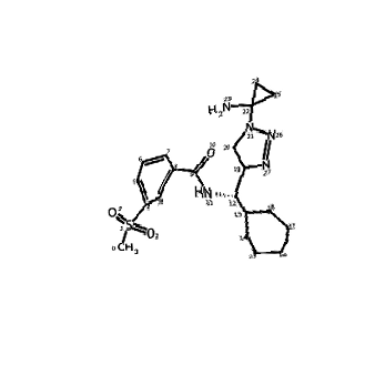 CS(=O)(=O)c1cccc(C(=O)N[C@@H](C2CCCCC2)C2CN(C3(N)CC3)N=N2)c1